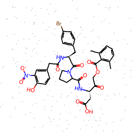 Cc1cccc(C)c1C(=O)OCC(=O)[C@H](CC(=O)O)NC(=O)C1CCCN1C(=O)[C@H](Cc1ccc(Br)cc1)NC(=O)Cc1ccc(O)c([N+](=O)[O-])c1